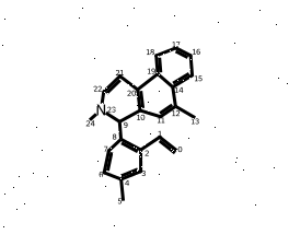 C=Cc1cc(C)ccc1C1c2cc(C)c3ccccc3c2C=CN1C